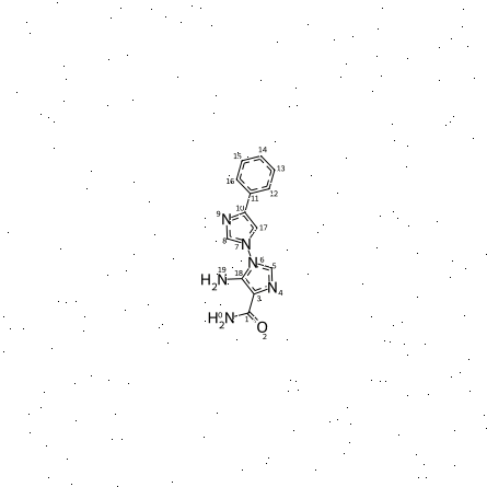 NC(=O)c1ncn(-n2cnc(-c3ccccc3)c2)c1N